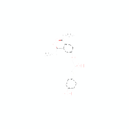 COC(=O)c1ccc(OCC(O)CSc2ccc(O)cc2)cc1C(=O)OC